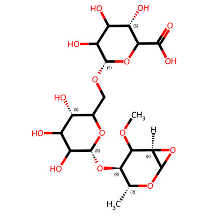 COC1[C@H]2OC2O[C@H](C)[C@H]1O[C@H]1OC(CO[C@H]2OC(C(=O)O)[C@@H](O)C(O)C2O)[C@@H](O)C(O)C1O